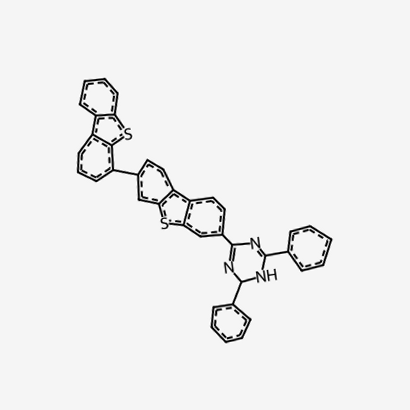 c1ccc(C2=NC(c3ccc4c(c3)sc3cc(-c5cccc6c5sc5ccccc56)ccc34)=NC(c3ccccc3)N2)cc1